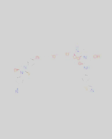 Cc1cc(N2C(=O)C(C)(C)N(c3ccc(OCCCCOCCCOCC(=O)N[C@H](C(=O)N4C[C@H](O)C[C@H]4C(=O)NCc4ccc(-c5cncs5)cc4)C(C)(C)C)cc3)C2=S)ccc1C#N